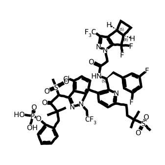 CC(C)(Cc1ccccc1OP(=O)(O)O)C(=O)C(c1nn(CC(F)(F)F)c2c(-c3ccc(CCC(C)(C)S(C)(=O)=O)nc3[C@H](Cc3cc(F)cc(F)c3)NC(=O)Cn3nc(C(F)(F)F)c4c3C(F)(F)[C@@H]3CC[C@H]43)ccc(Cl)c12)S(C)(=O)=O